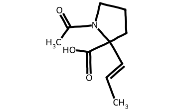 CC=CC1(C(=O)O)CCCN1C(C)=O